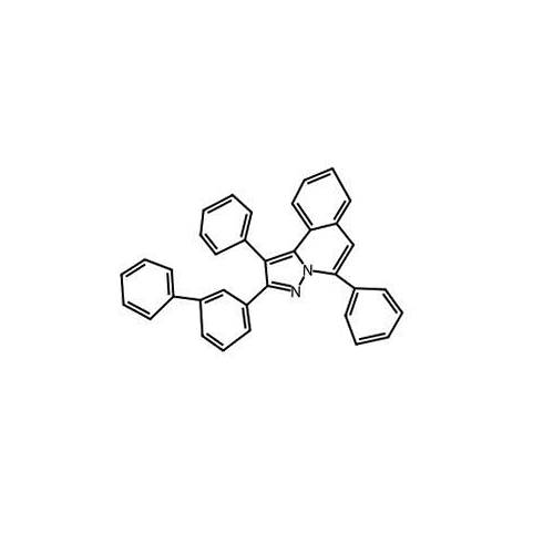 c1ccc(-c2cccc(-c3nn4c(-c5ccccc5)cc5ccccc5c4c3-c3ccccc3)c2)cc1